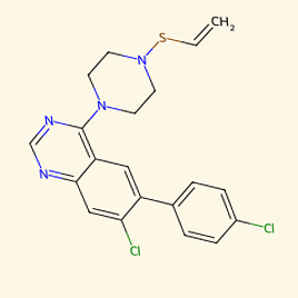 C=CSN1CCN(c2ncnc3cc(Cl)c(-c4ccc(Cl)cc4)cc23)CC1